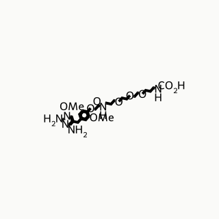 COc1cc(Cc2cnc(N)nc2N)cc(OC)c1OCC(=O)NCCCOCCOCCOCCCNC(=O)O